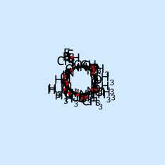 CCC(C)[C@@H]1NC(=O)[C@H](CC(C)C)N(C)C(=O)C[C@@H](C)N(C)C(=O)[C@H](C(C)C)N(C)C(=O)C2(CCCC2)NC(=O)[C@@H]2CCCN2C(=O)[C@H](CCc2ccc(C(F)(F)F)c(Cl)c2)NC(=O)CN(C)C(=O)[C@H](Cc2ccccc2)N(C)C(=O)CN(C)C(=O)CN(C)C1=O